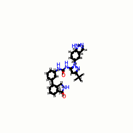 CC(C)(C)c1cc(NC(=O)Nc2cccc(-c3cccc4c3CNC4=O)c2)n(-c2ccc3[nH]ncc3c2)n1